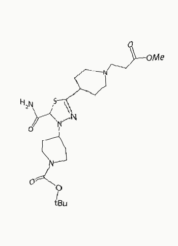 COC(=O)CCN1CCC(C2=NN(C3CCN(C(=O)OC(C)(C)C)CC3)C(C(N)=O)S2)CC1